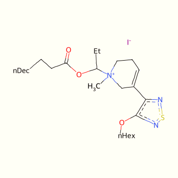 CCCCCCCCCCCCC(=O)OC(CC)[N+]1(C)CCC=C(c2nsnc2OCCCCCC)C1.[I-]